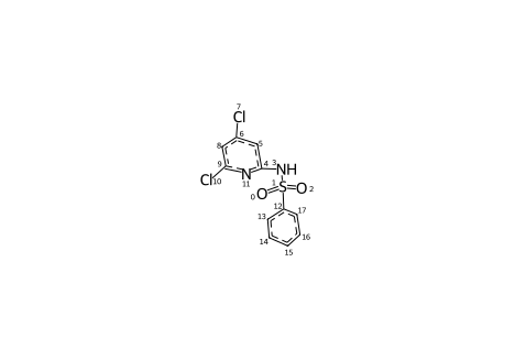 O=S(=O)(Nc1cc(Cl)cc(Cl)n1)c1ccccc1